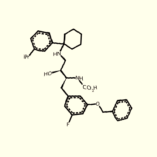 CC(C)c1cccc(C2(NC[C@H](O)[C@H](Cc3cc(F)cc(OCc4ccccc4)c3)NC(=O)O)CCCCC2)c1